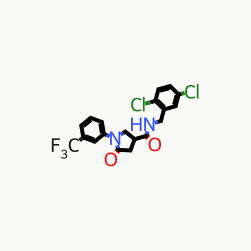 O=C(NCc1cc(Cl)ccc1Cl)C1CC(=O)N(c2cccc(C(F)(F)F)c2)C1